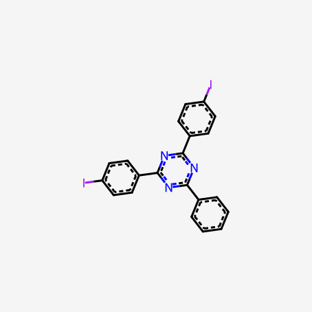 Ic1ccc(-c2nc(-c3ccccc3)nc(-c3ccc(I)cc3)n2)cc1